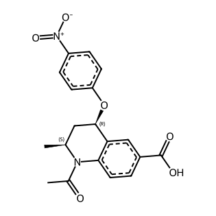 CC(=O)N1c2ccc(C(=O)O)cc2[C@H](Oc2ccc([N+](=O)[O-])cc2)C[C@@H]1C